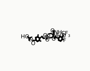 Cc1cc(C(=O)N2CC(O)C2)cc(C)c1/C=C/S(=O)(=O)N1CCC(NC(=O)c2ccc(F)c(OC(F)(F)F)c2)(C(N)=O)CC1